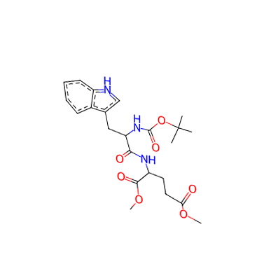 COC(=O)CCC(NC(=O)C(Cc1c[nH]c2ccccc12)NC(=O)OC(C)(C)C)C(=O)OC